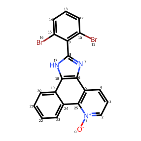 [O-][n+]1cccc2c3nc(-c4c(Br)cccc4Br)[nH]c3c3ccccc3c21